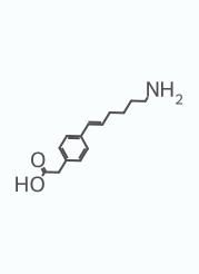 NCCCCC=Cc1ccc(CC(=O)O)cc1